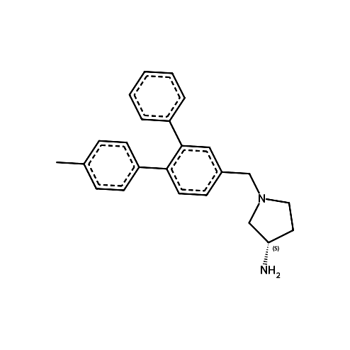 Cc1ccc(-c2ccc(CN3CC[C@H](N)C3)cc2-c2ccccc2)cc1